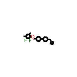 Cc1cc(C)c(OCC2CCC(C3CCC(CC4CCC4)CC3)CC2)c(F)c1F